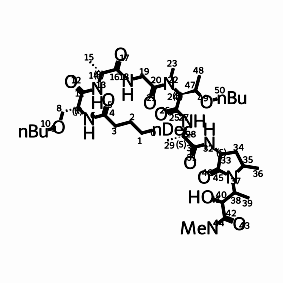 CCCCCCCCCCCCCC(=O)N[C@H](COCCCC)C(=O)N[C@H](C)C(=O)NCC(=O)N(C)[C@H](C(=O)N[C@@H](C)C(=O)N[C@H]1CC(C)N(C(C)C(O)C(=O)NC)C1=O)C(C)OCCCC